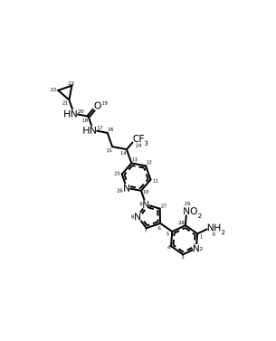 Nc1nccc(-c2cnn(-c3ccc(C(CCNC(=O)NC4CC4)C(F)(F)F)cn3)c2)c1[N+](=O)[O-]